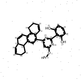 CCCOc1cc(-c2cc3c(c4c2C=CCC4)C=CC2C=CCCC32)nc(-c2c(O)cccc2O)n1